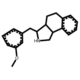 COc1cccc(CC2NCC3c4ccccc4CCC23)c1